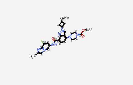 COC1CC(n2cc3c(N4CCN(C(=O)OC(C)(C)C)CC4)ccc(C(=O)Nc4cc(F)c5nc(C)cn5c4)c3n2)C1